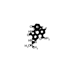 CN(C)c1nc2cc(-c3c(C(N)=O)cc(F)cc3C(F)(F)F)c3c(c2[nH]1)C(=O)NC3c1cc(F)ccc1Cl